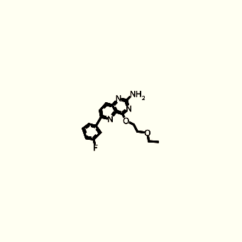 CCOCCOc1nc(N)nc2ccc(-c3cccc(F)c3)nc12